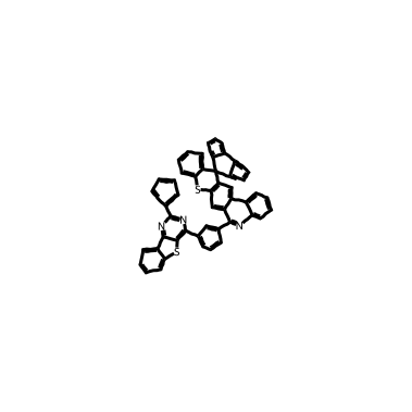 c1ccc(-c2nc(-c3cccc(-c4nc5ccccc5c5cc6c(cc45)Sc4ccccc4C64c5ccccc5-c5ccccc54)c3)c3sc4ccccc4c3n2)cc1